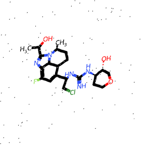 CC(O)C1=NC2=C(F)C=C(C(CCl)NC(=N)N[C@@H]3CCOC[C@H]3O)C3CC[C@H](C)N1C23